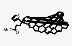 COC(=O)CCC1(c2cccs2)C2C3=CC4CC5Cc6cc7c8c9c%10c%11c%12c%13c%14c(c%15c3c3c(c%16c(c6c8c%11%16)C5C=34)c%15%12)C21C=C%14CC(C=C9C7)C%13%10